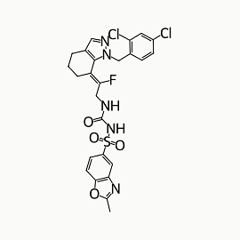 Cc1nc2cc(S(=O)(=O)NC(=O)NCC(F)=C3CCCc4cnn(Cc5ccc(Cl)cc5Cl)c43)ccc2o1